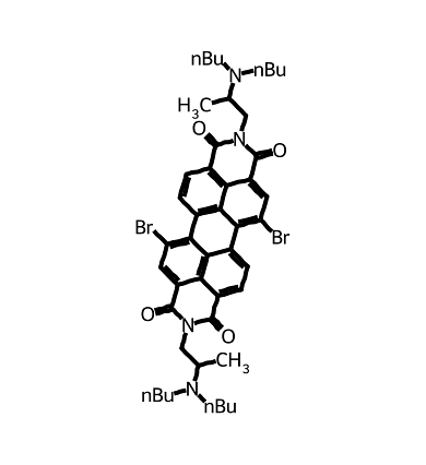 CCCCN(CCCC)C(C)CN1C(=O)c2ccc3c4c(Br)cc5c6c(ccc(c7c(Br)cc(c2c37)C1=O)c64)C(=O)N(CC(C)N(CCCC)CCCC)C5=O